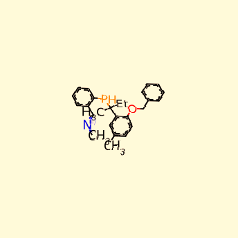 CCC(C)(Pc1ccccc1/C=N/C)c1cc(C)ccc1OCc1ccccc1